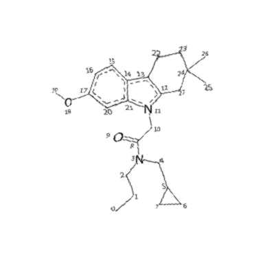 CCCN(CC1CC1)C(=O)Cn1c2c(c3ccc(OC)cc31)CCC(C)(C)C2